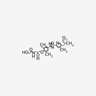 CCc1cc(-c2noc(-c3cc(C)c(CC(C)C)cn3)n2)cc(C)c1OC[C@@H](O)CNC(=O)CO